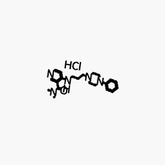 CN(C)C(=O)c1cnccc1NCCCN1CCN(c2ccccc2)CC1.Cl